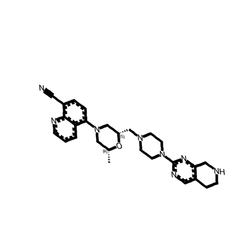 C[C@@H]1CN(c2ccc(C#N)c3ncccc23)C[C@H](CN2CCN(c3ncc4c(n3)CNCC4)CC2)O1